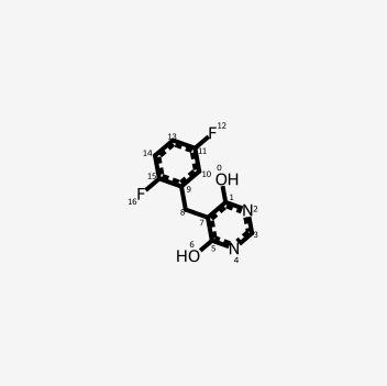 Oc1ncnc(O)c1Cc1cc(F)ccc1F